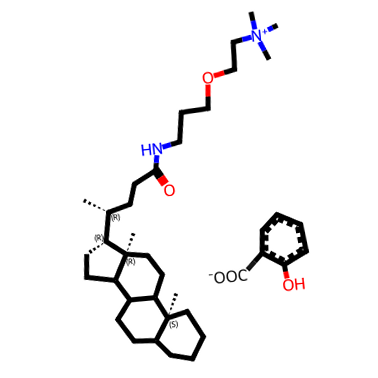 C[C@H](CCC(=O)NCCCOCC[N+](C)(C)C)[C@H]1CCC2C3CCC4CCCC[C@]4(C)C3CC[C@@]21C.O=C([O-])c1ccccc1O